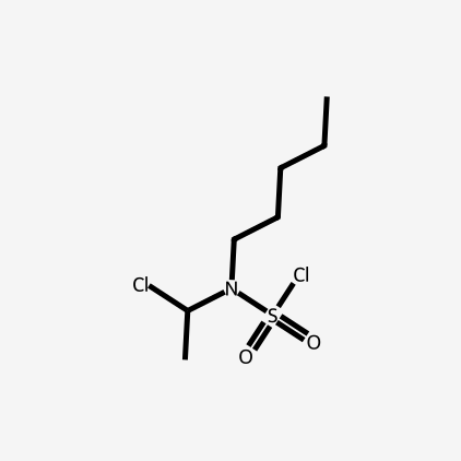 CCCCCN(C(C)Cl)S(=O)(=O)Cl